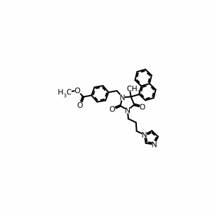 COC(=O)c1ccc(CN2C(=O)N(CCCn3ccnc3)C(=O)C2(C)c2cccc3ccccc23)cc1